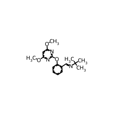 COc1cc(OC)nc(Oc2ccccc2C=NC(C)(C)C)n1